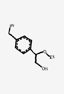 CCOC(CO)c1ccc(CC(C)C)cc1